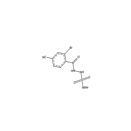 CNS(=O)(=O)NNC(=O)c1ccc(C#N)cc1Br